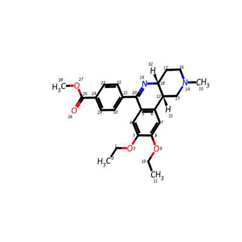 CCOc1cc2c(cc1OCC)[C@H]1CN(C)CC[C@H]1N=C2c1ccc(C(=O)OC)cc1